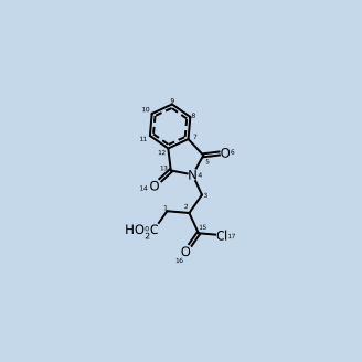 O=C(O)CC(CN1C(=O)c2ccccc2C1=O)C(=O)Cl